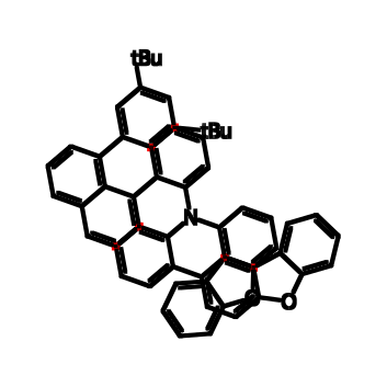 CC(C)(C)c1cc(-c2cccc3cccc(-c4ccccc4N(c4ccccc4-c4ccc5oc6ccccc6c5c4)c4cccc5oc6ccccc6c45)c23)cc(C(C)(C)C)c1